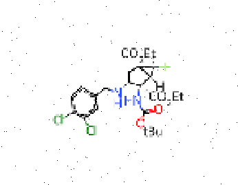 CCOC(=O)[C@@]1(NC(=O)OC(C)(C)C)[C@H]2C(C[C@H]1NCc1ccc(Cl)c(Cl)c1)[C@]2(F)C(=O)OCC